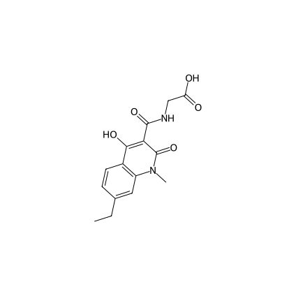 CCc1ccc2c(O)c(C(=O)NCC(=O)O)c(=O)n(C)c2c1